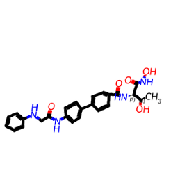 C[C@@H](O)[C@H](NC(=O)c1ccc(-c2ccc(NC(=O)CNc3ccccc3)cc2)cc1)C(=O)NO